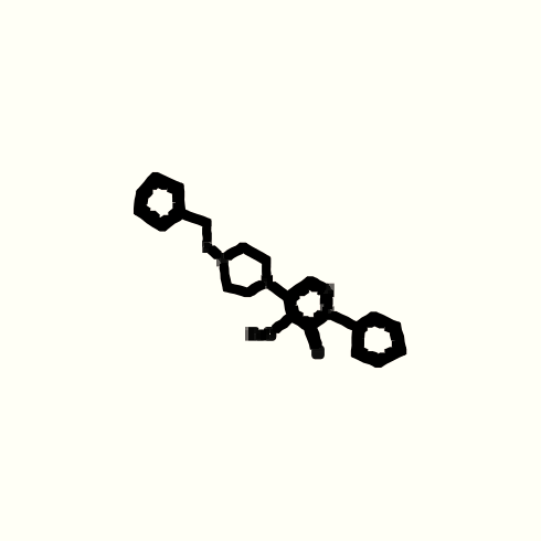 CC(C)COc1c(N2CCN(SCc3ccccc3)CC2)cnn(-c2ccccc2)c1=O